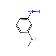 CNc1cccc(NI)c1